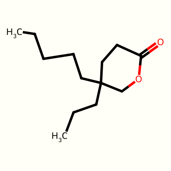 CCCCCC1(CCC)CCC(=O)OC1